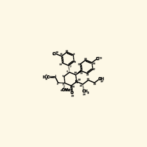 C=CC[C@@]1(OC)C[C@H](c2cccc(Cl)c2)[C@@H](c2ccc(Cl)cc2)N([C@@H](C)CCO)C1=O